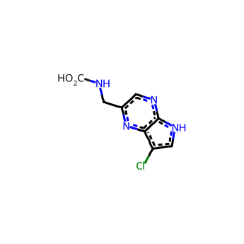 O=C(O)NCc1cnc2[nH]cc(Cl)c2n1